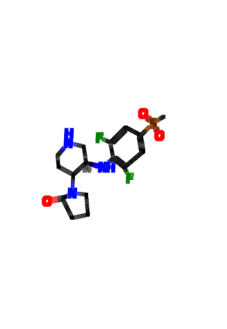 CS(=O)(=O)c1cc(F)c(N[C@@H]2CNCCC2N2CCCC2=O)c(F)c1